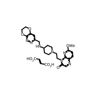 COc1ccc2ncc(=O)n(CCN3CCC(NCc4cc5c(nn4)OCCO5)CC3)c2n1.O=C(O)C=CC(=O)O